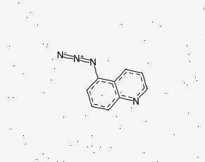 [N-]=[N+]=Nc1cccc2ncccc12